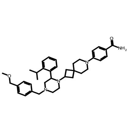 COCc1ccc(CN2CCN(C3CC4(CCN(c5ccc(C(N)=O)cc5)CC4)C3)C(c3ccccc3C(C)C)C2)cc1